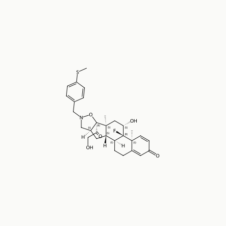 CSc1ccc(CN2C[C@@H]3C[C@H]4[C@@H]5CCC6=CC(=O)C=C[C@]6(C)[C@@]5(F)[C@@H](O)C[C@]4(C)[C@]3(C(=O)CO)O2)cc1